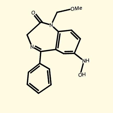 COCN1C(=O)CN=C(c2ccccc2)c2cc(NO)ccc21